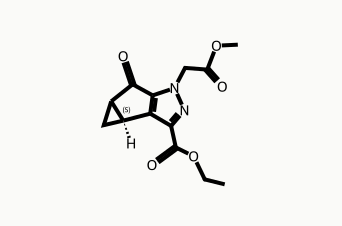 CCOC(=O)c1nn(CC(=O)OC)c2c1[C@H]1CC1C2=O